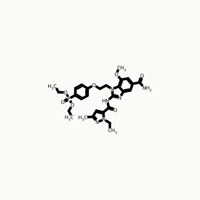 CCOP(=O)(OCC)c1ccc(OCCn2c(NC(=O)c3cc(C)nn3CC)nc3cc(C(N)=O)cc(OC)c32)cc1